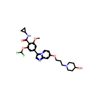 COc1cc(-c2cnc3cc(OCCCN4CCC(O)CC4)ccn23)cc(OC(F)F)c1C(=O)NC1CC1